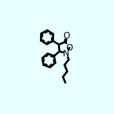 CCCCCN1OC(=O)C(c2ccccc2)C1c1ccccc1